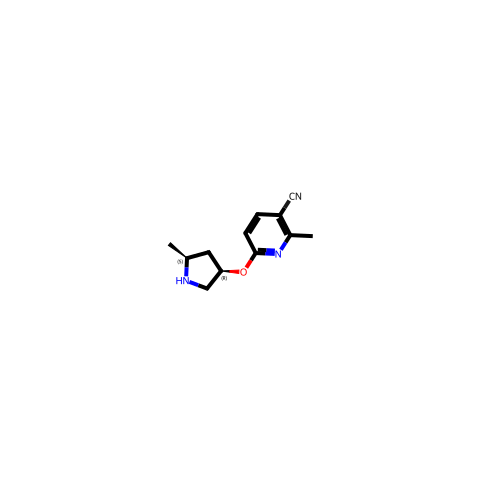 Cc1nc(O[C@H]2CN[C@@H](C)C2)ccc1C#N